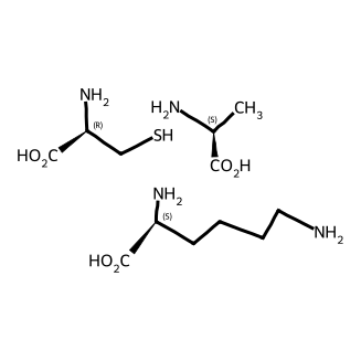 C[C@H](N)C(=O)O.NCCCC[C@H](N)C(=O)O.N[C@@H](CS)C(=O)O